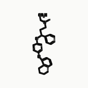 CN(CCC(Oc1ccc(Oc2cccc3c2CCCC3)cc1)c1ccccc1)CC(=O)O